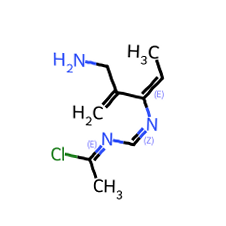 C=C(CN)C(=C\C)/N=C\N=C(/C)Cl